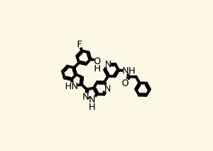 O=C(Cc1ccccc1)Nc1cncc(-c2cc3c(-c4cc5c(-c6cc(O)cc(F)c6)cccc5[nH]4)n[nH]c3cn2)c1